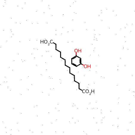 O=C(O)CCCCCCCCCCCCC(=O)O.Oc1cccc(O)c1